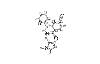 Cn1cccc1CN(CCc1ccccn1)C(=O)c1ccc(Cl)cc1